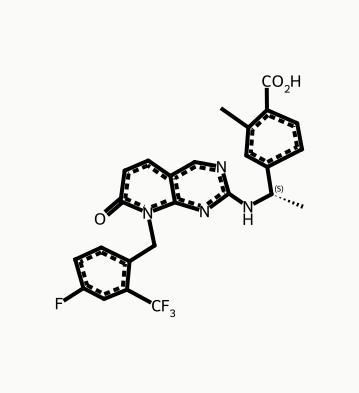 Cc1cc([C@H](C)Nc2ncc3ccc(=O)n(Cc4ccc(F)cc4C(F)(F)F)c3n2)ccc1C(=O)O